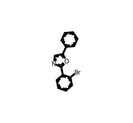 Brc1ccccc1-c1ncc(-c2ccccc2)o1